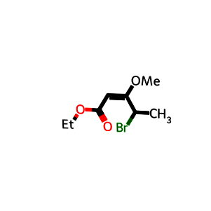 CCOC(=O)C=C(OC)C(C)Br